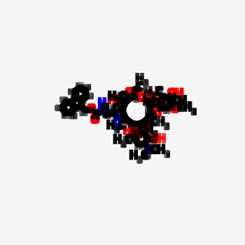 CC[C@H]1OC(=O)[C@H](C)[C@@H](OC2CC(C)(OC)C(O)C(C)O2)[C@H](C)[C@@H](OC2OC(C)CC(N(C)C)C2O)[C@](C)(O)C[C@@H](C)[C@H](NCCNC(=O)OCC2c3ccccc3-c3ccccc32)[C@H](C)[C@@H](O)[C@]1(C)O